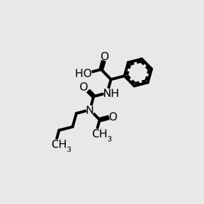 CCCCN(C(C)=O)C(=O)NC(C(=O)O)c1ccccc1